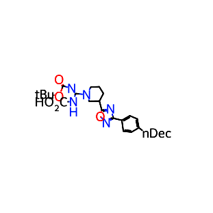 CCCCCCCCCCc1ccc(-c2noc(C3CCCN(C(=NC(=O)OC(C)(C)C)NC(=O)O)C3)n2)cc1